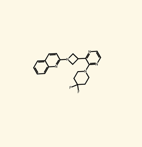 FC1(F)CCN(c2nccnc2C2CN(c3ccc4ccccc4n3)C2)CC1